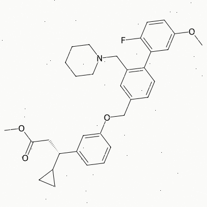 COC(=O)C[C@H](c1cccc(OCc2ccc(-c3cc(OC)ccc3F)c(CN3CCCCC3)c2)c1)C1CC1